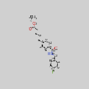 CCOC(=O)CCCCc1ccc(C(=O)NCc2ccc(F)cc2)cc1